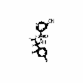 N#Cc1cncc(S(=O)(=O)NC(F)(c2ccc(F)cc2F)C(F)F)c1